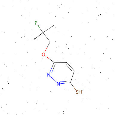 CC(C)(F)COc1ccc(S)nn1